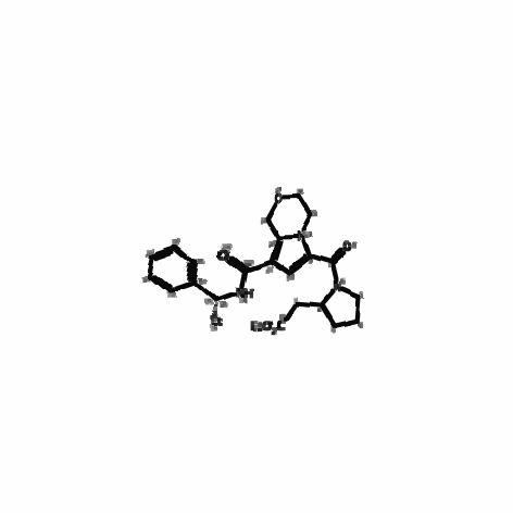 CCOC(=O)CC1CCCN1C(=O)c1cc(C(=O)N[C@H](CC)c2ccccc2)c2n1CCOC2